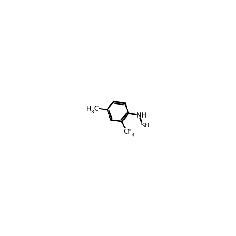 Cc1ccc(NS)c(C(F)(F)F)c1